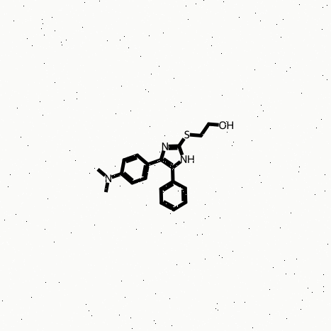 CN(C)c1ccc(-c2nc(SCCO)[nH]c2-c2ccccc2)cc1